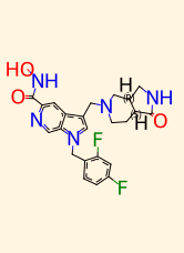 O=C(NO)c1cc2c(CN3CC[C@@H]4C(=O)NC[C@@H]4C3)cn(Cc3ccc(F)cc3F)c2cn1